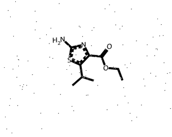 CCOC(=O)c1nc(N)sc1C(C)C